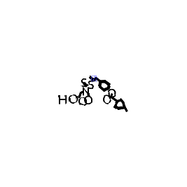 C/C(=C/c1ccc(OC(=O)c2ccc(C)cc2)cc1)SC(=S)N(C=O)CC(=O)O